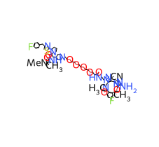 CN[C@@H](C)C(=O)N[C@H](C(=O)N1CCC[C@H]1C1=NC(Cc2ccc(F)cc2)CS1)C1CCN(CCOCCOCCOCCOCCC(=O)NCCn2nc(C#N)c3c2CN(C)C(=O)c2ccc(F)cc2[C@@H](C)Oc2nc-3cnc2N)CC1